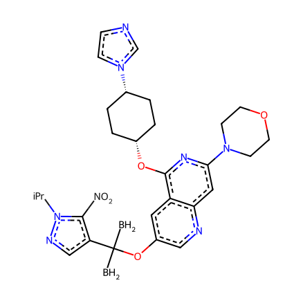 BC(B)(Oc1cnc2cc(N3CCOCC3)nc(O[C@H]3CC[C@@H](n4ccnc4)CC3)c2c1)c1cnn(C(C)C)c1[N+](=O)[O-]